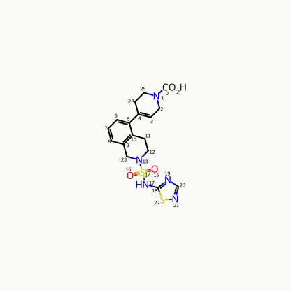 O=C(O)N1CC=C(c2cccc3c2CCN(S(=O)(=O)Nc2ncns2)C3)CC1